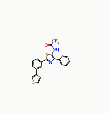 O=C(Nc1sc(-c2cccc(-c3ccsc3)c2)nc1-c1ccccc1)C(F)(F)F